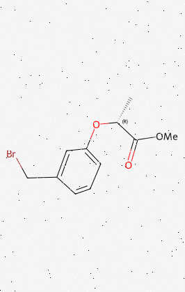 COC(=O)[C@@H](C)Oc1cccc(CBr)c1